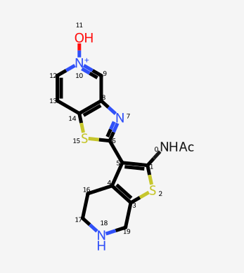 CC(=O)Nc1sc2c(c1-c1nc3c[n+](O)ccc3s1)CCNC2